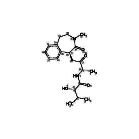 CC(C)[C@H](O)C(=O)N[C@@H](C)C(=O)C[C@@H]1C(=O)N(C)CCc2ccccc21